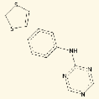 C1=CSCS1.c1ccc(Nc2ncncn2)cc1